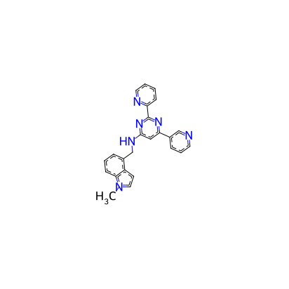 Cn1ccc2c(CNc3cc(-c4cccnc4)nc(-c4ccccn4)n3)cccc21